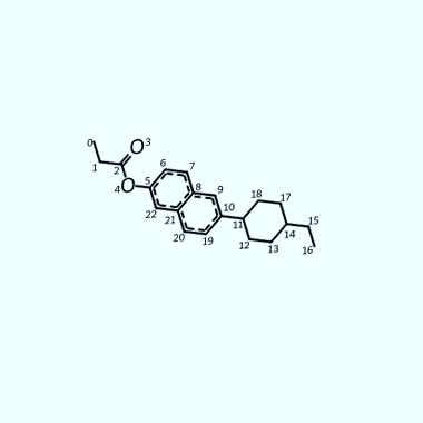 CCC(=O)Oc1ccc2cc(C3CCC(CC)CC3)ccc2c1